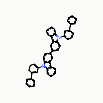 C1=C(c2ccccc2)CCC=C1n1c2ccccc2c2cc(-c3ccc4c(c3)c3ccccc3n4-c3cccc(-c4ccccc4)c3)ccc21